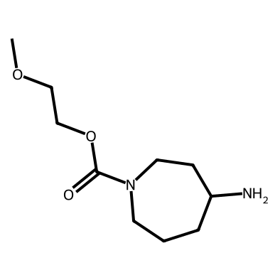 COCCOC(=O)N1CCCC(N)CC1